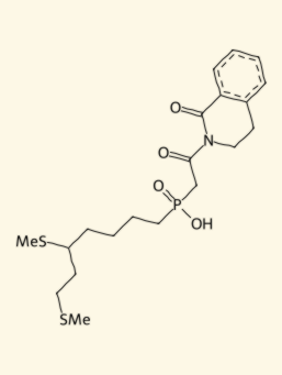 CSCCC(CCCCP(=O)(O)CC(=O)N1CCc2ccccc2C1=O)SC